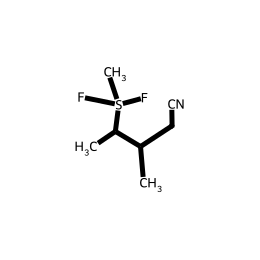 CC(CC#N)C(C)S(C)(F)F